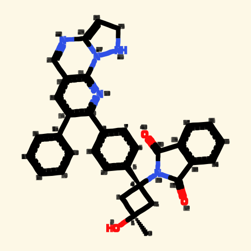 C[C@]1(O)C[C@](c2ccc(-c3nc4c(cc3-c3ccccc3)C=NC3=CCNN34)cc2)(N2C(=O)c3ccccc3C2=O)C1